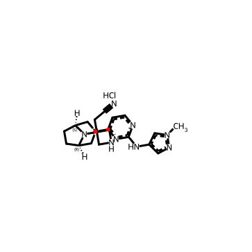 Cl.Cn1cc(Nc2nccc(N3C[C@H]4CC[C@@H](C3)N4C3(CC#N)CNC3)n2)cn1